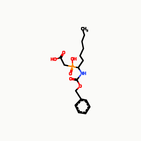 CCCCCCC(NC(=O)OCc1ccccc1)P(=O)(O)CC(=O)O